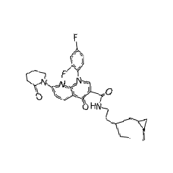 C=C1CC1CC(CC)CCNC(=O)c1cn(-c2ccc(F)cc2F)c2nc(N3CCCCC3=O)ccc2c1=O